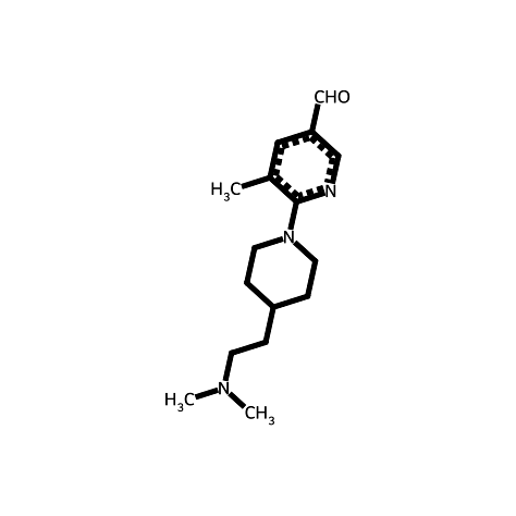 Cc1cc(C=O)cnc1N1CCC(CCN(C)C)CC1